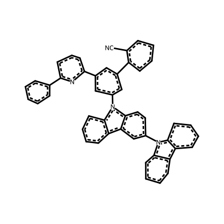 N#Cc1ccccc1-c1cc(-c2cccc(-c3ccccc3)n2)cc(-n2c3ccccc3c3cc(-n4c5ccccc5c5ccccc54)ccc32)c1